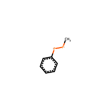 C[P][P]c1ccccc1